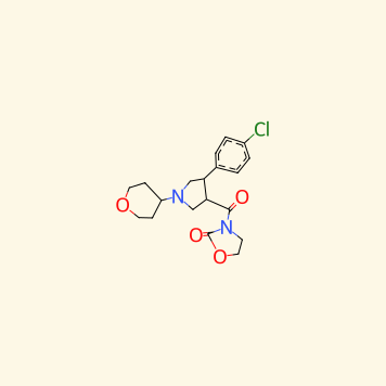 O=C1OCCN1C(=O)C1CN(C2CCOCC2)CC1c1ccc(Cl)cc1